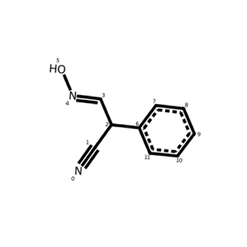 N#CC(C=NO)c1ccccc1